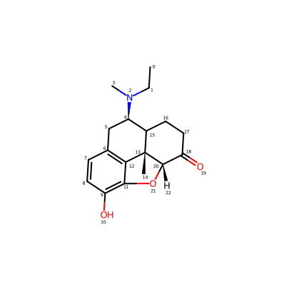 CCN(C)[C@@H]1Cc2ccc(O)c3c2[C@]2(C)C1CCC(=O)[C@@H]2O3